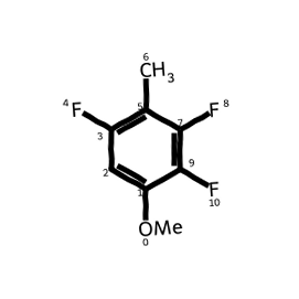 COc1cc(F)c(C)c(F)c1F